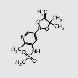 C=C1OB(c2cnc(C)c(NS(C)(=O)=O)c2)OC1(C)C